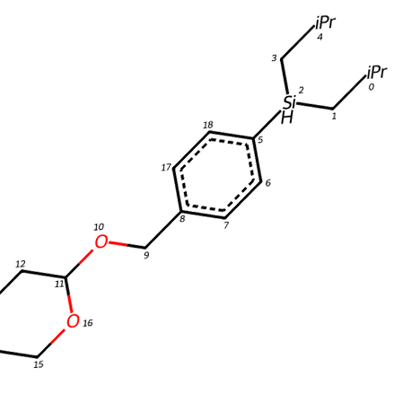 CC(C)C[SiH](CC(C)C)c1ccc(COC2CCCCO2)cc1